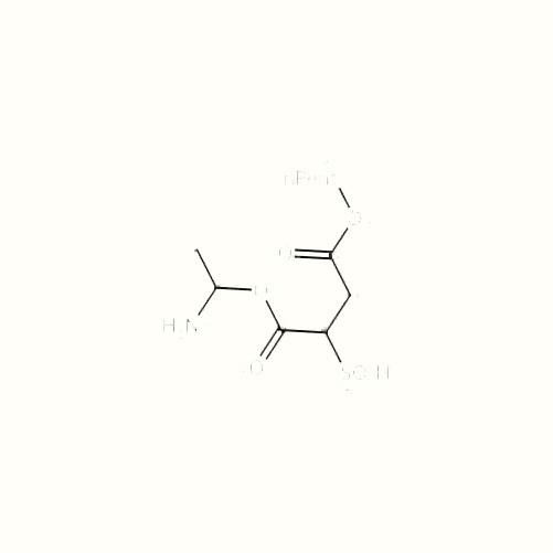 CCCCCOC(=O)CC(C(=O)OC(C)N)S(=O)(=O)O